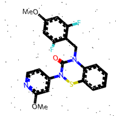 COc1cc(F)c(CN2C(=O)N(c3ccnc(OC)c3)Sc3ccccc32)c(F)c1